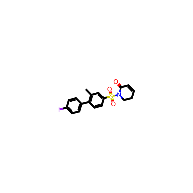 Cc1cc(S(=O)(=O)N2CCC=CC2=O)ccc1-c1ccc(I)cc1